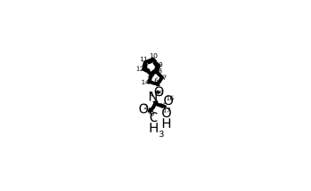 CC(=O)C(=NOC1Cc2ccccc2C1)C(=O)O